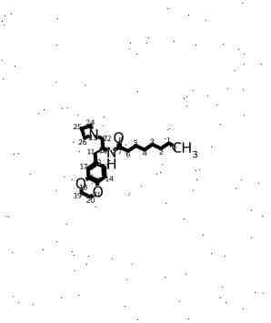 CCCCCCCC(=O)N[C@@H](Cc1ccc2c(c1)OCCO2)CN1CCC1